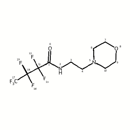 O=C(NCCN1CCOCC1)C(F)(F)C(F)(F)C(F)(F)F